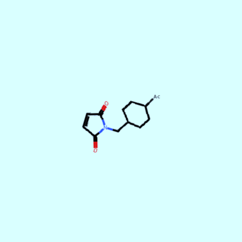 CC(=O)C1CCC(CN2C(=O)C=CC2=O)CC1